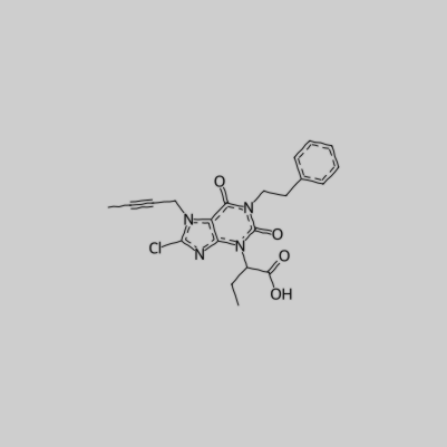 CC#CCn1c(Cl)nc2c1c(=O)n(CCc1ccccc1)c(=O)n2C(CC)C(=O)O